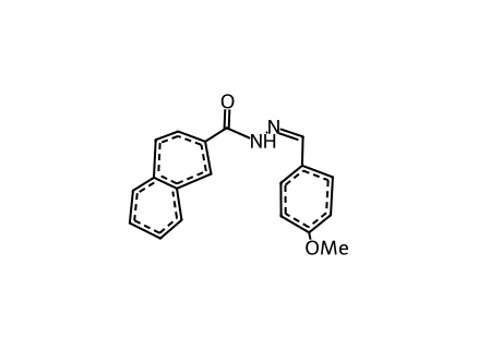 COc1ccc(/C=N\NC(=O)c2ccc3ccccc3c2)cc1